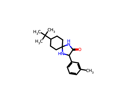 Cc1cccc(C2NC3(CCC(C(C)(C)C)CC3)NC2=O)c1